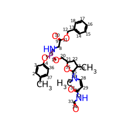 Cc1ccc(OP(NCC(=O)OCc2ccccc2)OCC2CC(C)C(N(C)/C=C\C(=O)NC=O)O2)cc1